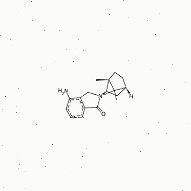 CC1(C)[C@@H]2CC[C@@]1(C)[C@H](N1Cc3c(N)cccc3C1=O)C2